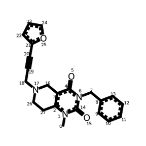 Cn1c2c(c(=O)n(Cc3ccccc3)c1=O)CN(CC#Cc1ccco1)CC2